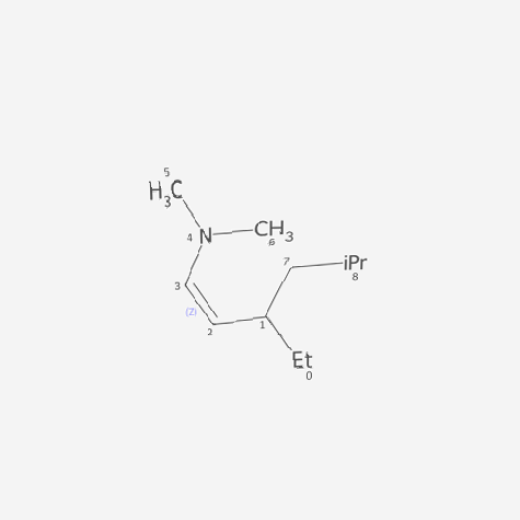 CCC(/C=C\N(C)C)CC(C)C